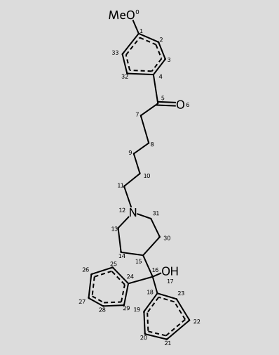 COc1ccc(C(=O)CCCCCN2CCC(C(O)(c3ccccc3)c3ccccc3)CC2)cc1